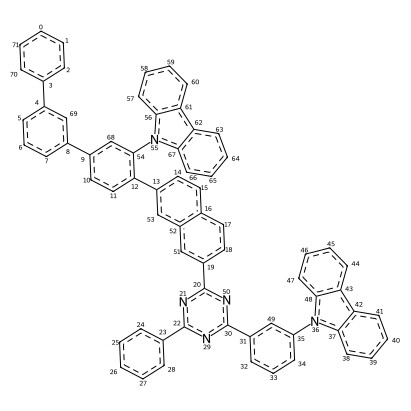 c1ccc(-c2cccc(-c3ccc(-c4ccc5ccc(-c6nc(-c7ccccc7)nc(-c7cccc(-n8c9ccccc9c9ccccc98)c7)n6)cc5c4)c(-n4c5ccccc5c5ccccc54)c3)c2)cc1